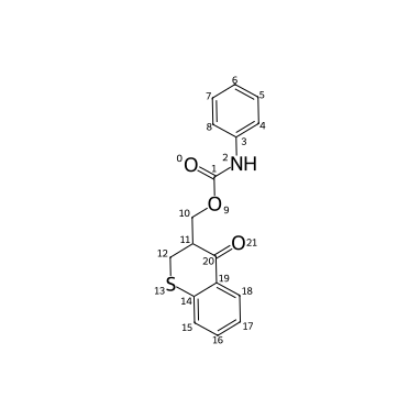 O=C(Nc1ccccc1)OCC1CSc2ccccc2C1=O